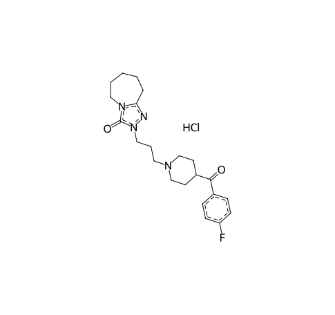 Cl.O=C(c1ccc(F)cc1)C1CCN(CCCn2nc3n(c2=O)CCCCC3)CC1